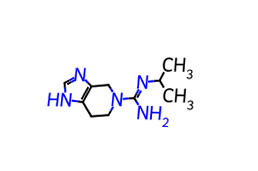 CC(C)N=C(N)N1CCc2[nH]cnc2C1